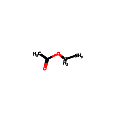 CC(=O)O[SiH2][SiH3]